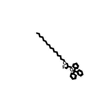 CCCCCCCCCCCCCCCCOCC(CF)COC(c1ccccc1)(c1ccccc1)c1ccccc1